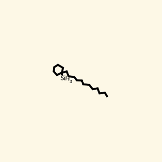 CCCCCCCCCCCCC1([SiH3])CCCCC1